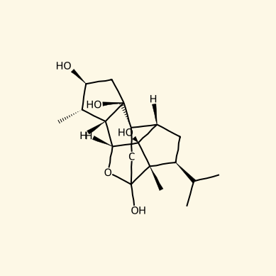 CC(C)[C@@H]1C[C@@H]2[C@@]3(O)[C@@H]4OC(O)(C[C@@]2(C)[C@@]2(O)C[C@H](O)[C@@H](C)[C@@H]42)[C@@]13C